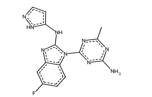 Cc1nc(N)nc(-n2c(Nc3ccn[nH]3)nc3cc(F)ccc32)n1